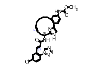 COC(=O)Nc1ccc2c(c1)CCCC/C=C\C[C@H](NC(=O)/C=C/c1cc(Cl)ccc1-n1cnnn1)c1nc-2c[nH]1